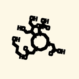 CCCCO.O=C(O)CN1CCN(CC(=O)O)CCN(C(CO)C(O)CO)N(CC(=O)O)CC1